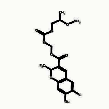 CC(COC(=O)OCOC(=O)C1=Cc2cc(Cl)c(C(C)(C)C)cc2OC1C(F)(F)F)ON